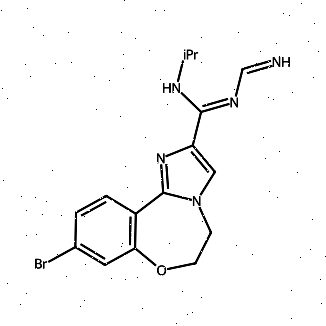 CC(C)N/C(=N\C=N)c1cn2c(n1)-c1ccc(Br)cc1OCC2